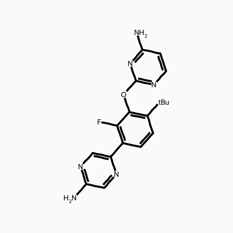 CC(C)(C)c1ccc(-c2cnc(N)cn2)c(F)c1Oc1nccc(N)n1